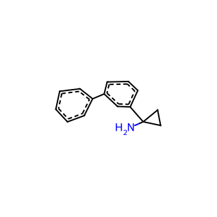 NC1(c2cccc(-c3ccccc3)c2)CC1